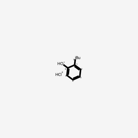 CCC(C)c1ccccc1O.Cl